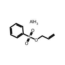 C=CCOS(=O)(=O)c1ccccc1.[AlH3]